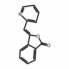 O=C1OC(=Cc2ccccn2)c2ccccc21